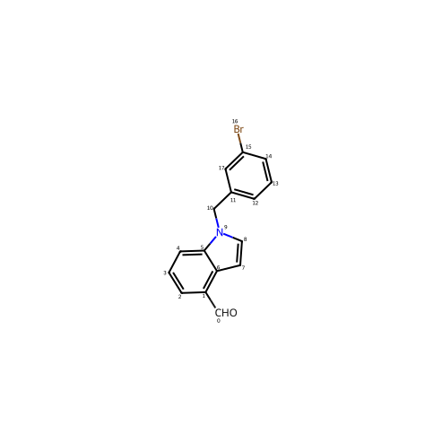 O=Cc1cccc2c1ccn2Cc1cccc(Br)c1